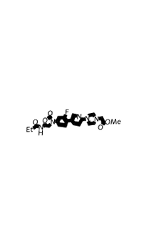 CCC(=O)NC1CN(c2ccc(-c3ccc(N4CCN(CC(=O)OC)CC4)nc3)c(F)c2)C(=O)O1